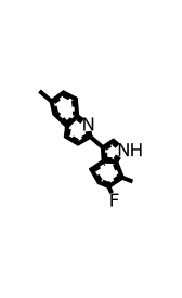 Cc1ccc2nc(-c3c[nH]c4c(C)c(F)ccc34)ccc2c1